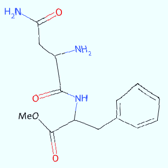 COC(=O)C(Cc1ccccc1)NC(=O)C(N)CC(N)=O